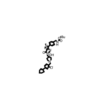 Cn1nc2c(=O)n(CC3(O)CCN(Cc4ccc(C5=CCCCC5)cc4Cl)CC3)cnc2c1-c1ccc(CNC(=O)OC(C)(C)C)cc1